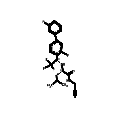 CC(C)C[C@H](N[C@@H](c1ccc(-c2cccc(F)c2)cc1F)C(F)(F)F)C(=O)NCC#N